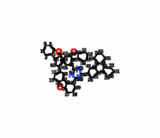 c1ccc2c(c1)oc1ccc(-c3ccc4oc5cccc(-c6nc(-c7ccc8c9ccccc9c9ccccc9c8c7)nc(-c7cccc8oc9ccccc9c78)n6)c5c4c3)cc12